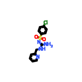 N/C(=N\S(=O)(=O)c1ccc(Cl)cc1)NCc1ccccn1